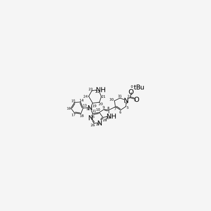 CC(C)(C)OC(=O)N1CC=C(c2cc3c(N(c4ccccc4)C4CCNCC4)ncnc3[nH]2)CC1